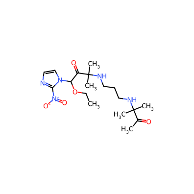 CCOC(C(=O)C(C)(C)NCCCNC(C)(C)C(C)=O)n1ccnc1[N+](=O)[O-]